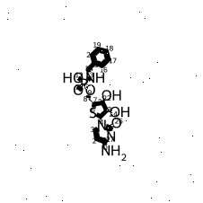 Nc1ccn([C@@H]2S[C@H](COP(=O)(O)NCc3ccccc3)[C@@H](O)[C@@H]2O)c(=O)n1